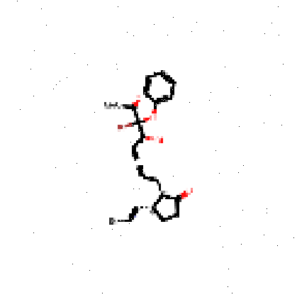 CC/C=C/[C@H]1CCC(=O)[C@@H]1CC=C=CC([16OH])C(Br)(Oc1ccccc1)C(=O)OC